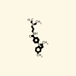 CCN(CC)CCCNC(=O)c1ccc(-n2c(C)cc3c2CCC(C)C3)cc1